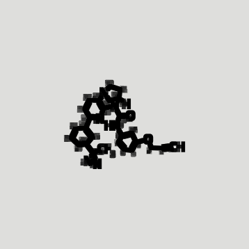 C#CCOc1cccc(NC(=O)N2c3nc(-c4cccc(C5(C(F)(F)F)N=N5)c4)ccc3N3CC[C@H]2C3)c1